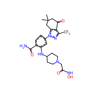 CC1(C)CC(=O)c2c(C(F)(F)F)nn(-c3ccc(C(N)=O)c(NC4CCN(CC(=O)NO)CC4)c3)c2C1